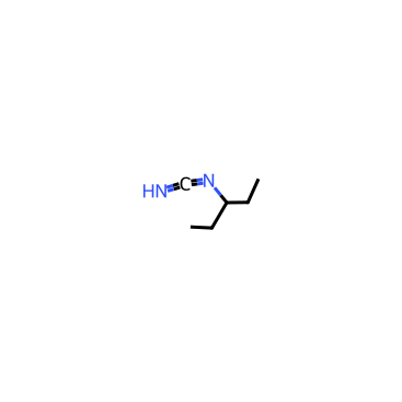 CCC(CC)N=C=N